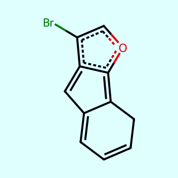 Brc1coc2c1=CC1=CC=CCC=21